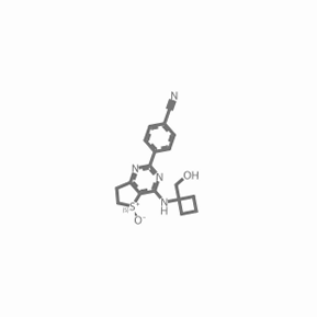 N#Cc1ccc(-c2nc3c(c(NC4(CO)CCC4)n2)[S@+]([O-])CC3)cc1